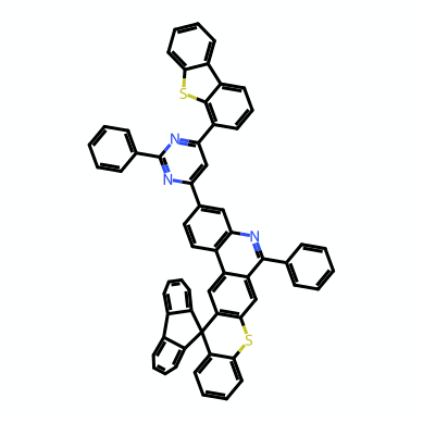 c1ccc(-c2nc(-c3ccc4c(c3)nc(-c3ccccc3)c3cc5c(cc34)C3(c4ccccc4S5)c4ccccc4-c4ccccc43)cc(-c3cccc4c3sc3ccccc34)n2)cc1